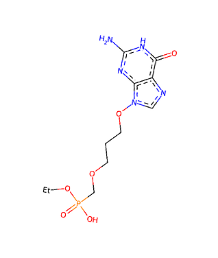 CCOP(=O)(O)COCCCOn1cnc2c(=O)[nH]c(N)nc21